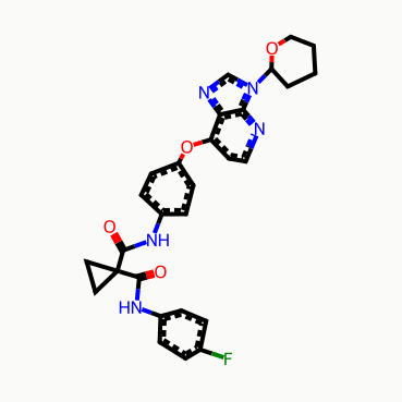 O=C(Nc1ccc(F)cc1)C1(C(=O)Nc2ccc(Oc3ccnc4c3ncn4C3CCCCO3)cc2)CC1